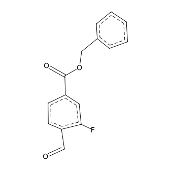 O=Cc1ccc(C(=O)OCc2ccccc2)cc1F